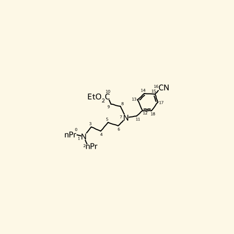 CCCN(CCC)CCCCN(CCC(=O)OCC)Cc1ccc(C#N)cc1